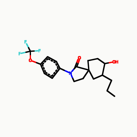 CCCC1CC2(CCC1O)CCN(c1ccc(OC(F)(F)F)cc1)C2=O